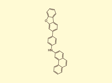 c1ccc2c(c1)ccc1ccc(Nc3ccc(-c4ccc5c(c4)oc4ccccc45)cc3)cc12